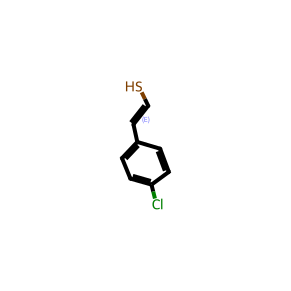 S/C=C/c1ccc(Cl)cc1